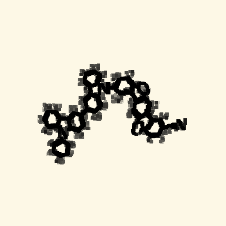 N#Cc1ccc2oc3cc4c(cc3c2c1)oc1ccc(-n2c3ccccc3c3cc(-c5ccc6c(c5)c5ccccc5n6-c5ccccc5)ccc32)cc14